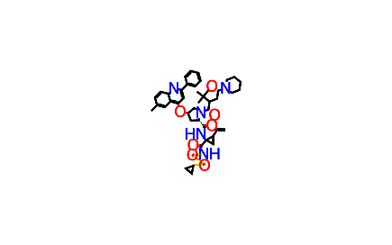 C=CC1C[C@]1(NC(=O)[C@@H]1C[C@@H](Oc2cc(-c3ccccc3)nc3ccc(C)cc23)CN1C(=O)C(CC(=O)N1CCCCC1)C(C)(C)C)C(=O)NS(=O)(=O)C1CC1